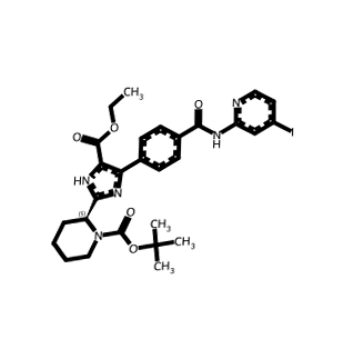 CCOC(=O)c1[nH]c([C@@H]2CCCCN2C(=O)OC(C)(C)C)nc1-c1ccc(C(=O)Nc2cc(I)ccn2)cc1